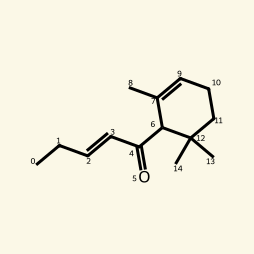 CCC=CC(=O)C1C(C)=CCCC1(C)C